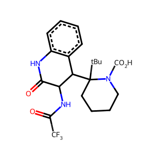 CC(C)(C)C1(C2c3ccccc3NC(=O)C2NC(=O)C(F)(F)F)CCCCN1C(=O)O